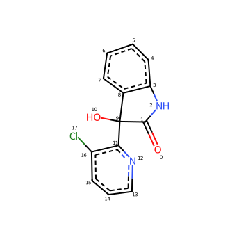 O=C1Nc2ccccc2C1(O)c1ncccc1Cl